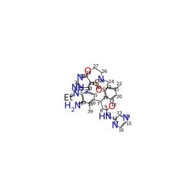 CCN(N)c1ccc(C(CC(=O)Nc2cnccn2)c2ccc(C)c(CN3CCOc4ncccc4[S+]3[O-])c2)c(C)c1N